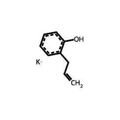 C=CCc1ccccc1O.[K]